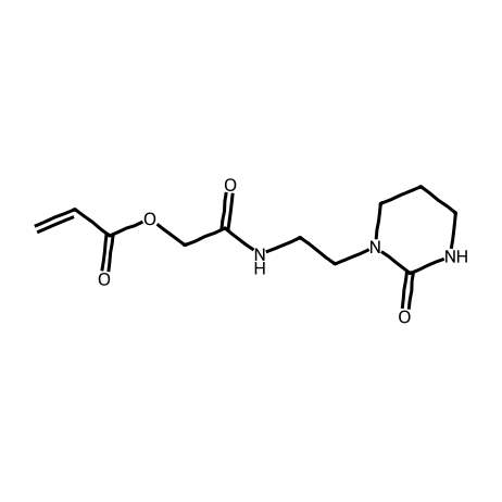 C=CC(=O)OCC(=O)NCCN1CCCNC1=O